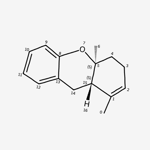 CC1=CCC[C@]2(C)Oc3ccccc3C[C@@H]12